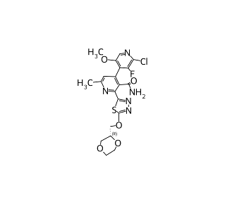 COc1cnc(Cl)c(F)c1-c1cc(C)nc(-c2nnc(OC[C@H]3COCCO3)s2)c1C(N)=O